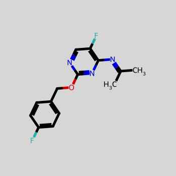 CC(C)=Nc1nc(OCc2ccc(F)cc2)ncc1F